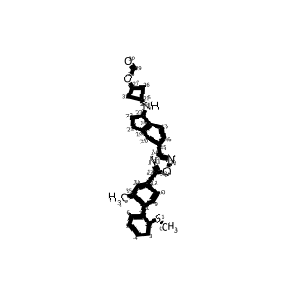 CSc1ccccc1-c1ccc(-c2nc(-c3ccc4c(c3)CCC4NC3CC(OC=O)C3)no2)cc1C